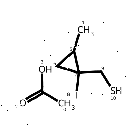 CC(=O)O.CC1CC1(I)CS